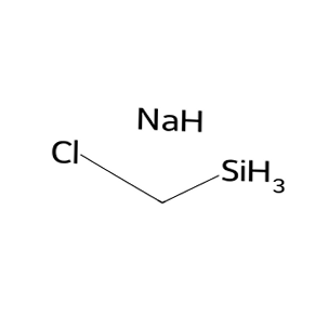 [NaH].[SiH3]CCl